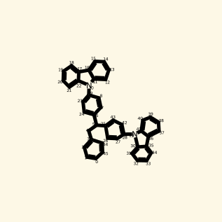 c1ccc(CC(c2ccc(-n3c4ccccc4c4ccccc43)cc2)c2ccc(-n3c4ccccc4c4ccccc43)cc2)cc1